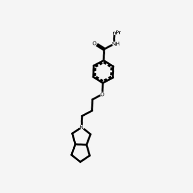 CCCNC(=O)c1ccc(OCCCN2CC3CCCC3C2)cc1